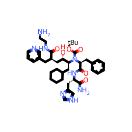 CC(C)(C)OC(=O)N([C@@H](Cc1ccccc1)C(=O)N[C@@H](Cc1c[nH]cn1)C(N)=O)[C@@H](CC1CCCCC1)[C@@H](O)C[C@@H](Cc1cccnc1)C(=O)NCCN